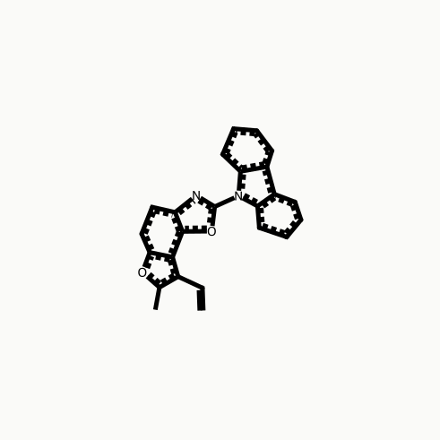 C=Cc1c(C)oc2ccc3nc(-n4c5ccccc5c5ccccc54)oc3c12